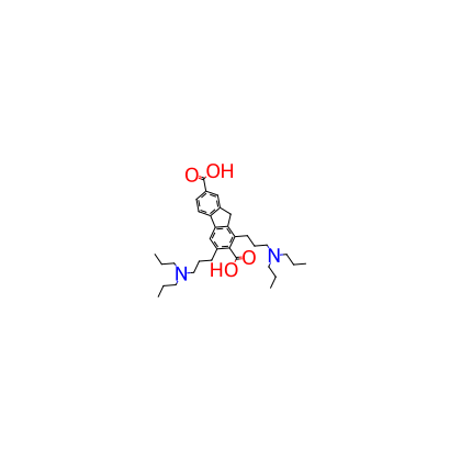 CCCN(CCC)CCCc1cc2c(c(CCCN(CCC)CCC)c1C(=O)O)Cc1cc(C(=O)O)ccc1-2